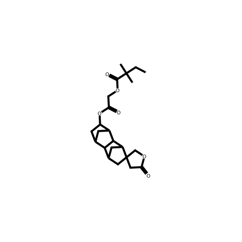 CCC(C)(C)C(=O)OCC(=O)OC1CC2CC1C1C2C2CC1C1(COC(=O)C1)C2